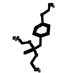 CCOc1ccc(CP(=O)(OCC)OCC)cc1